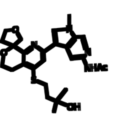 CC(=O)Nc1cc2c(-c3cc(SCCC(C)(C)O)c4c(n3)C3(CCOC3)OCC4)cn(C)c2cn1